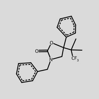 CC(C)(C(F)(F)F)C1(c2ccccc2)CN(Cc2ccccc2)C(=O)O1